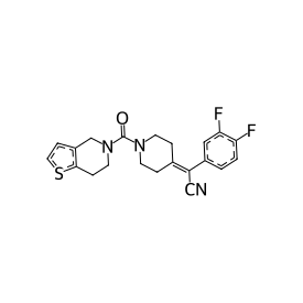 N#CC(=C1CCN(C(=O)N2CCc3sccc3C2)CC1)c1ccc(F)c(F)c1